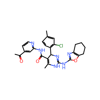 CC(=O)c1ccnc(NC(=O)C2=C(C)NC(Nc3nc4c(o3)CCCC4)=NC2c2ccc(C)cc2Cl)c1